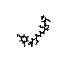 Cc1ncoc1-c1nnc(SCCCN2CC[C@@]3(C[C@@H]3c3ccc(F)cc3F)C2)n1C